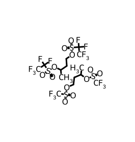 CC(CCOS(=O)(=O)C(F)(F)C(F)(F)F)OS(=O)(=O)C(F)(F)C(F)(F)F.CC(CCOS(=O)(=O)C(F)(F)F)OS(=O)(=O)C(F)(F)F